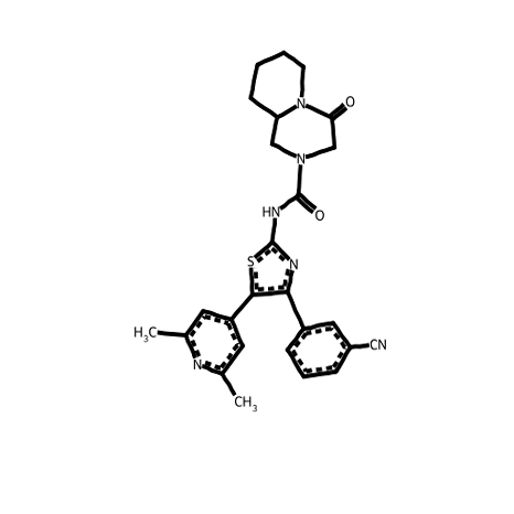 Cc1cc(-c2sc(NC(=O)N3CC(=O)N4CCCCC4C3)nc2-c2cccc(C#N)c2)cc(C)n1